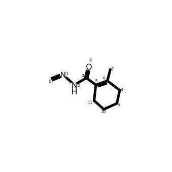 C=NNC(=O)C1=C(C)CCCC1